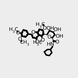 COc1ccc(-c2cc(=O)c3c(OC)c([C@@H]4O[C@H](C(=O)NCC5CCCCC5)[C@@H](O)[C@H](O)[C@H]4O)c(OC)cc3o2)cc1OC